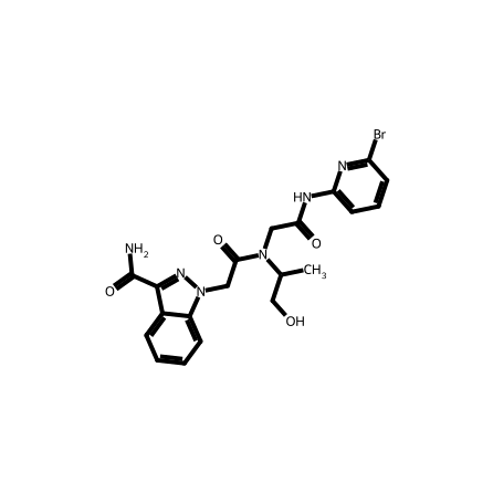 CC(CO)N(CC(=O)Nc1cccc(Br)n1)C(=O)Cn1nc(C(N)=O)c2ccccc21